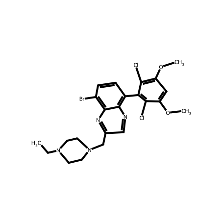 CCN1CCN(Cc2cnc3c(-c4c(Cl)c(OC)cc(OC)c4Cl)ccc(Br)c3n2)CC1